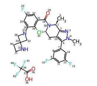 C[C@H]1c2nn(C)c(-c3cc(F)cc(F)c3)c2CCN1C(=O)c1cc(F)cc(N2CC3(CCN3)C2)c1Cl.O=C(O)C(F)(F)F